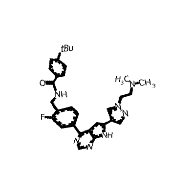 CN(C)CCn1cc(-c2cc3c(-c4ccc(CNC(=O)c5ccc(C(C)(C)C)cc5)c(F)c4)ncnc3[nH]2)cn1